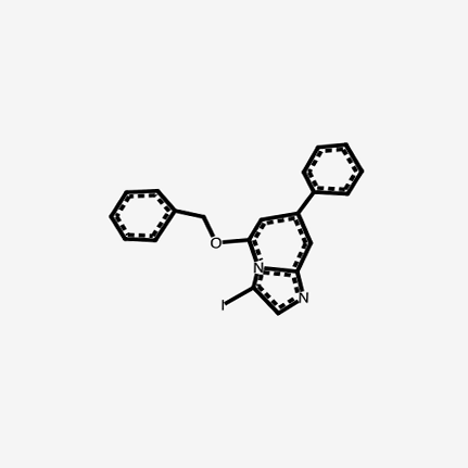 Ic1cnc2cc(-c3ccccc3)cc(OCc3ccccc3)n12